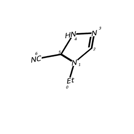 CCN1C=NNC1C#N